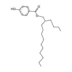 CCCCCCCCCCC(CCCC)COC(=O)c1ccc(O)cc1